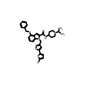 CC(C)N1CCC(NC(=O)c2cc3c(OCc4ccccc4)cccc3n2Cc2cc(-c3ccc(Cl)s3)on2)CC1